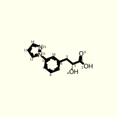 O=C(O)[C@H](O)Cc1cccc(-n2cccn2)c1